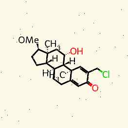 CO[C@@H]1CC[C@H]2[C@@H]3CCC4=CC(=O)C(CCl)=C[C@]4(C)[C@H]3[C@@H](O)C[C@]12C